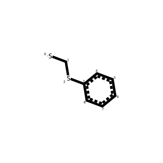 [S]CSc1ccccc1